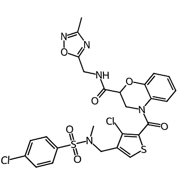 Cc1noc(CNC(=O)C2CN(C(=O)c3scc(CN(C)S(=O)(=O)c4ccc(Cl)cc4)c3Cl)c3ccccc3O2)n1